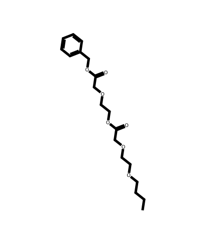 CCCCOCCOCC(=O)OCCOCC(=O)OCc1ccccc1